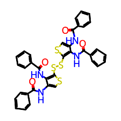 O=C(Nc1csc(SSc2scc(NC(=O)c3ccccc3)c2NC(=O)c2ccccc2)c1NC(=O)c1ccccc1)c1ccccc1